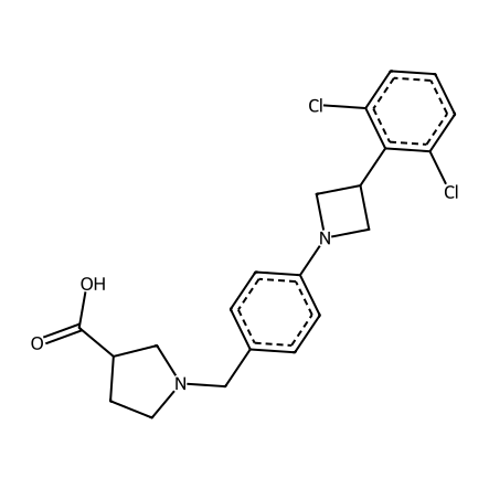 O=C(O)C1CCN(Cc2ccc(N3CC(c4c(Cl)cccc4Cl)C3)cc2)C1